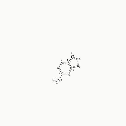 Nc1ccc2occc2c1